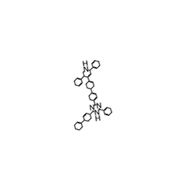 C1=CC(C2=NC(C3=CC=C(C4CC=C(C5=CC(C6=CCCC=C6)NCC5C5=CCCC=C5)CC4)CC3)=NC(C3C=CC(C4=CCCCC4)CC3)N2)=CCC1